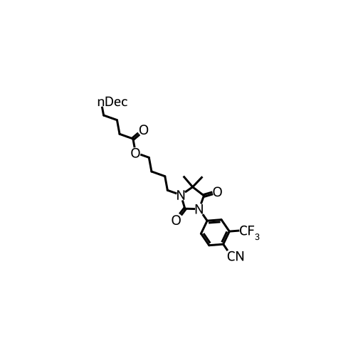 CCCCCCCCCCCCCC(=O)OCCCCN1C(=O)N(c2ccc(C#N)c(C(F)(F)F)c2)C(=O)C1(C)C